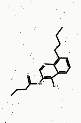 CCCCc1cccc2c(N)c(NC(=O)CCC)cnc12